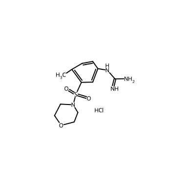 Cc1ccc(NC(=N)N)cc1S(=O)(=O)N1CCOCC1.Cl